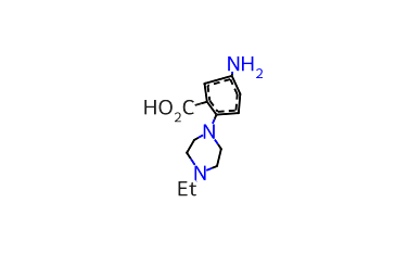 CCN1CCN(c2ccc(N)cc2C(=O)O)CC1